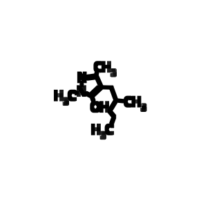 CCCC(C)Cc1c(C)nn(C)c1O